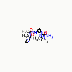 Cc1nc(Nc2cccc(CCNC(=O)[C@H](C)N(C)C(=O)/C=C/CN3CCC3)c2)c(C(N)=O)nc1C